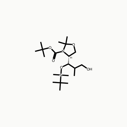 CC(CO)C(O[Si](C)(C)C(C)(C)C)[C@H]1COC(C)(C)N1C(=O)OC(C)(C)C